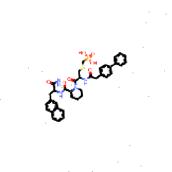 NC(=O)C(Cc1ccc2ccccc2c1)NC(=O)C1CCCCN1C(=O)C(CSCP(=O)(O)O)NC(=O)Cc1ccc(-c2ccccc2)cc1